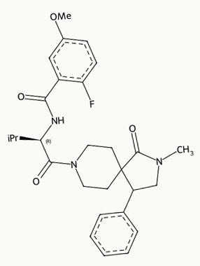 COc1ccc(F)c(C(=O)N[C@@H](C(=O)N2CCC3(CC2)C(=O)N(C)CC3c2ccccc2)C(C)C)c1